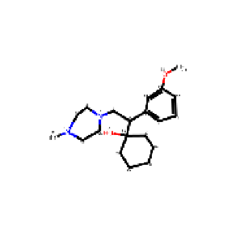 CC(C)N1CCN(CC(c2cccc(OC(F)(F)F)c2)C2(O)CCCCC2)CC1